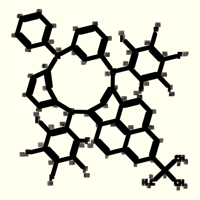 CC(C)(C)c1cc2ccc3c4cc(c5ccc(c1)c2c35)N(c1c(F)c(F)c(F)c(F)c1F)c1cccc(c1)N(c1ccccc1)c1cccc(c1)N4c1c(F)c(F)c(F)c(F)c1F